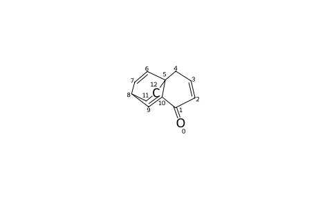 O=C1C=CCC23C=CC(C=C12)CC3